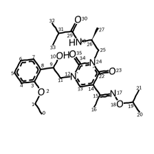 CCOc1ccccc1C(O)Cn1cc(/C(C)=N/OC(C)C)c(=O)n(C[C@H](C)NC(=O)C(C)C)c1=O